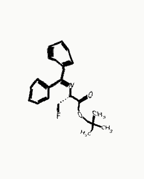 CC(C)(C)OC(=O)[C@H](CF)N=C(c1ccccc1)c1ccccc1